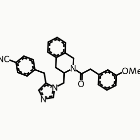 COc1cccc(CC(=O)N2Cc3ccccc3CC2Cn2cncc2Cc2ccc(C#N)cc2)c1